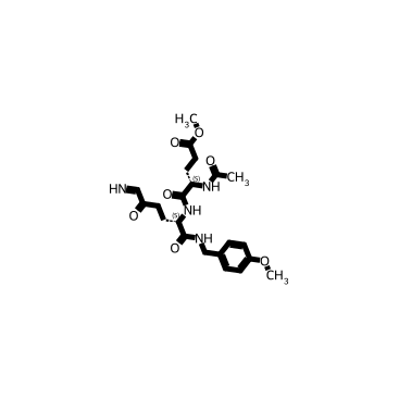 COC(=O)CC[C@H](NC(C)=O)C(=O)N[C@@H](CCC(=O)C=N)C(=O)NCc1ccc(OC)cc1